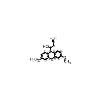 C#CCC(O)C1c2ccc(OC)cc2Cc2cc(OC)ccc21